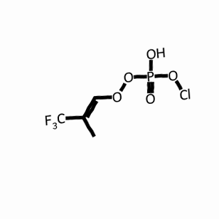 CC(=COOP(=O)(O)OCl)C(F)(F)F